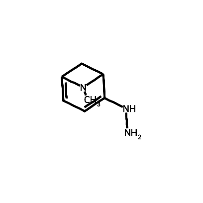 CN1C2=CC=C(NN)C1C2